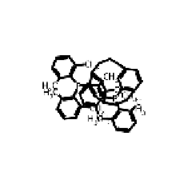 COc1cc2c(P(c3c(C)cccc3C)c3c(C)cccc3C)cc1CCc1ccc(cc1P(c1c(C)cccc1C)c1c(C)cccc1C)CC2